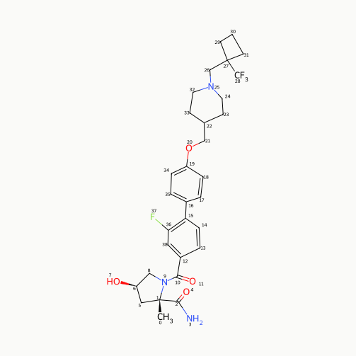 C[C@@]1(C(N)=O)C[C@@H](O)CN1C(=O)c1ccc(-c2ccc(OCC3CCN(CC4(C(F)(F)F)CCC4)CC3)cc2)c(F)c1